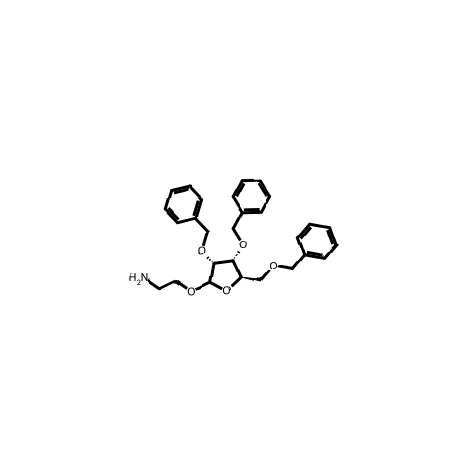 NCCOC1O[C@H](COCc2ccccc2)[C@@H](OCc2ccccc2)[C@H]1OCc1ccccc1